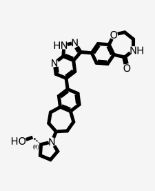 O=C1NCCOc2cc(-c3n[nH]c4ncc(-c5ccc6c(c5)CCC(N5CCC[C@@H]5CO)CC6)cc34)ccc21